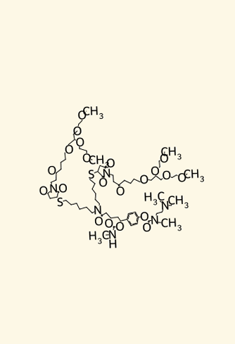 CCN(CC)CCN(CC)C(=O)Oc1ccc(C(CCCC(=O)N(CCCCCCSC2CC(=O)N(CCC(=O)CCCCOCC(COCCOC)OCCOC)C2=O)CCCCCCSC2CC(=O)N(CCC(=O)CCCCOCC(COCCOC)OCCOC)C2=O)OC(=O)NC)cc1